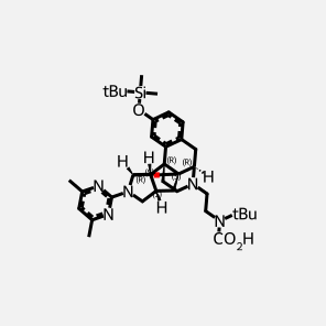 Cc1cc(C)nc(N2C[C@H]3C[C@@]45CC[C@@H]2[C@@H]3[C@@]42CCN(CCN(C(=O)O)C(C)(C)C)[C@@H]5Cc3ccc(O[Si](C)(C)C(C)(C)C)cc32)n1